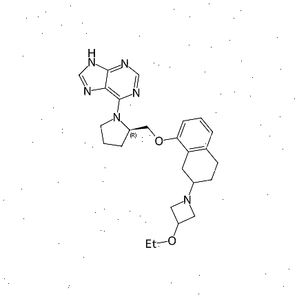 CCOC1CN(C2CCc3cccc(OC[C@H]4CCCN4c4ncnc5[nH]cnc45)c3C2)C1